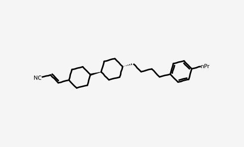 CCCc1ccc(CCCC[C@H]2CC[C@H](C3CCC(/C=C/C#N)CC3)CC2)cc1